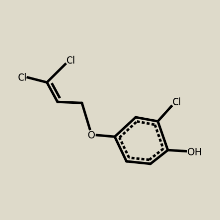 Oc1ccc(OCC=C(Cl)Cl)cc1Cl